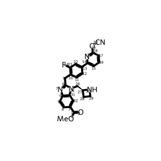 COC(=O)c1ccc2nc(Cc3ccc(-c4cccc(OC#N)n4)cc3F)n(C[C@@H]3CCN3)c2c1